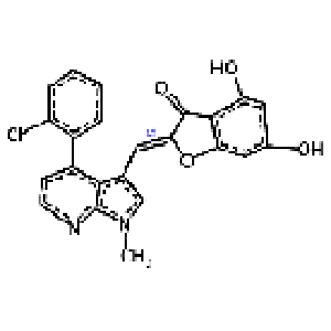 Cn1cc(/C=C2\Oc3cc(O)cc(O)c3C2=O)c2c(-c3ccccc3Cl)ccnc21